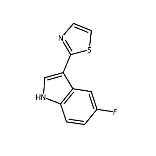 Fc1ccc2[nH]cc(-c3nccs3)c2c1